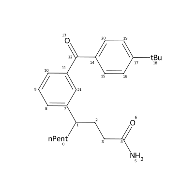 CCCCCC(CCC(N)=O)c1cccc(C(=O)c2ccc(C(C)(C)C)cc2)c1